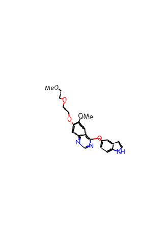 COCCOCCOc1cc2ncnc(Oc3ccc4[nH]ccc4c3)c2cc1OC